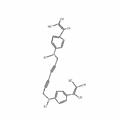 CCN(CC#CC#CCN(CC)c1ccc(C(C#N)=C(C#N)C#N)cc1)c1ccc(C(C#N)=C(C#N)C#N)cc1